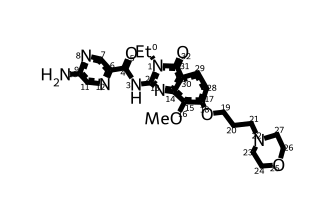 CCn1c(NC(=O)c2cnc(N)cn2)nc2c(OC)c(OCCCN3CCOCC3)ccc2c1=O